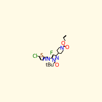 C=CCOC(=O)N1CCC(c2nn(C(=O)C(C)(C)C)c(NCc3ccc(Cl)s3)c2F)CC1